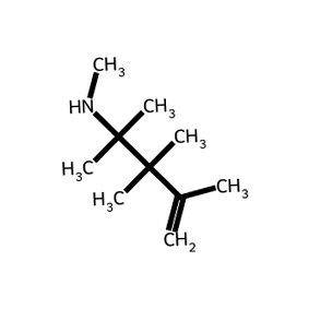 C=C(C)C(C)(C)C(C)(C)NC